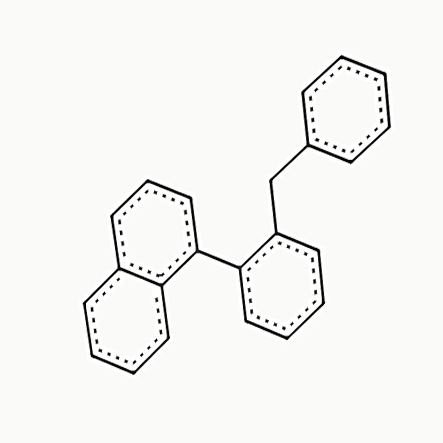 [c]1cccc(-c2cccc3ccccc23)c1Cc1ccccc1